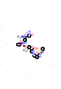 Cc1c(OCCOC2CC3CCC(C2)N3CC(=O)Nc2ccc3c(C4CCC(=O)NC4=O)nn(C)c3c2)cccc1-c1ccc(N2CCc3cccc(C(=O)Nc4nc5ccccc5s4)c3C2)nc1C(=O)O